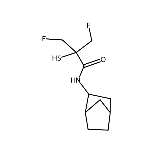 O=C(NC1CC2CCC1C2)C(S)(CF)CF